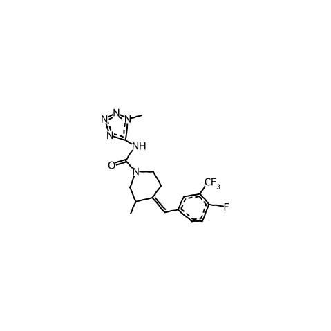 CC1CN(C(=O)Nc2nnnn2C)CCC1=Cc1ccc(F)c(C(F)(F)F)c1